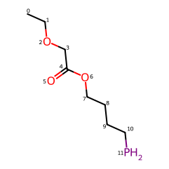 CCOCC(=O)OCCCCP